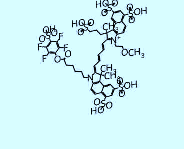 COCC[N+]1=C(/C=C/C=C/C=C2/N(CCCCCC(=O)Oc3c(F)c(F)c(S(=O)(=O)O)c(F)c3F)c3ccc4c(S(=O)(=O)O)cc(S(=O)(=O)O)cc4c3C2(C)C)C(C)(CCCS(=O)(=O)O)c2c1ccc1c(S(=O)(=O)O)cc(S(=O)(=O)O)cc21